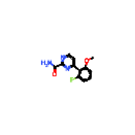 COc1cccc(F)c1-c1c[c]nc(C(N)=O)n1